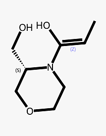 C/C=C(\O)N1CCOC[C@@H]1CO